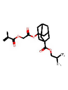 C=C(C)C(=O)OCC(=O)OC12CC3CC(C1)CC(C(=O)OCC(C(F)(F)F)C(F)(F)F)(C3)C2